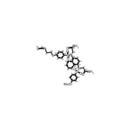 COc1ccc(S(=O)(=O)N(CC(N)=O)c2ccc(N(CC(N)=O)S(=O)(=O)c3ccc(SCCN=C=S)cc3)c3ccccc23)cc1